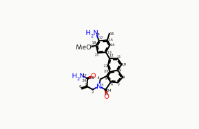 C=C(CN1Cc2c(ccc3ccc(-c4cc(C)c(N)c(OC)c4)cc23)C1=O)C(N)=O